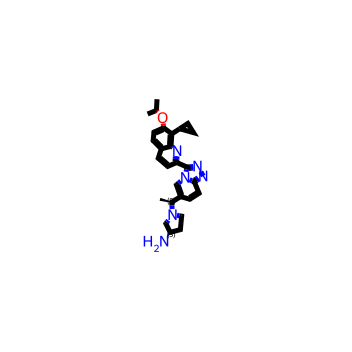 CC(C)Oc1ccc2ccc(-c3nnc4ccc([C@H](C)N5CC[C@H](N)C5)cn34)nc2c1C1CC1